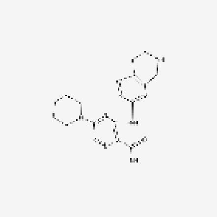 NC(=O)c1ncc(N2CCCCC2)nc1Nc1ccc2c(c1)CNCC2